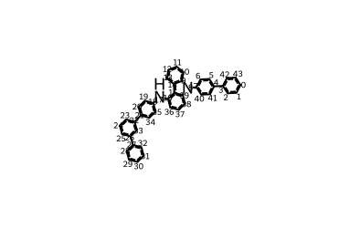 c1ccc(-c2ccc(-n3c4ccccc4c4c(Nc5ccc(-c6cccc(-c7ccccc7)c6)cc5)cccc43)cc2)cc1